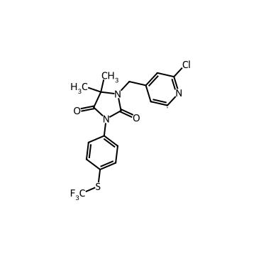 CC1(C)C(=O)N(c2ccc(SC(F)(F)F)cc2)C(=O)N1Cc1c[c]nc(Cl)c1